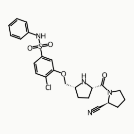 N#C[C@@H]1CCCN1C(=O)[C@@H]1CC[C@H](COc2cc(S(=O)(=O)Nc3ccccc3)ccc2Cl)N1